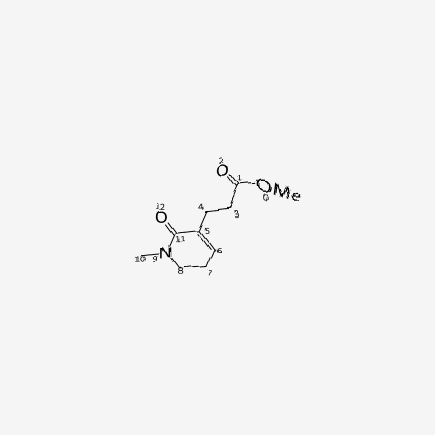 COC(=O)CCC1=CCCN(C)C1=O